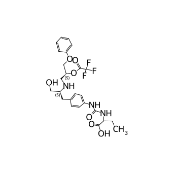 CCC(NC(=O)Nc1ccc(C[C@@H](CO)NC[C@@H](COc2ccccc2)OC(=O)C(F)(F)F)cc1)C(=O)O